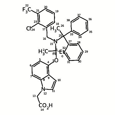 CC[C@@](C)(Oc1cccc2c1ccn2CC(=O)O)N(Cc1cccc(C(F)(F)F)c1Cl)C(C)(c1ccccc1)c1ccccc1